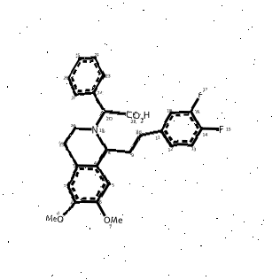 COc1cc2c(cc1OC)C(CCc1ccc(F)c(F)c1)N(C(C(=O)O)c1ccccc1)CC2